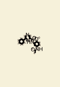 COc1ccc(NC(C)=O)cc1NC(=O)c1cncc(-c2ccccc2)n1